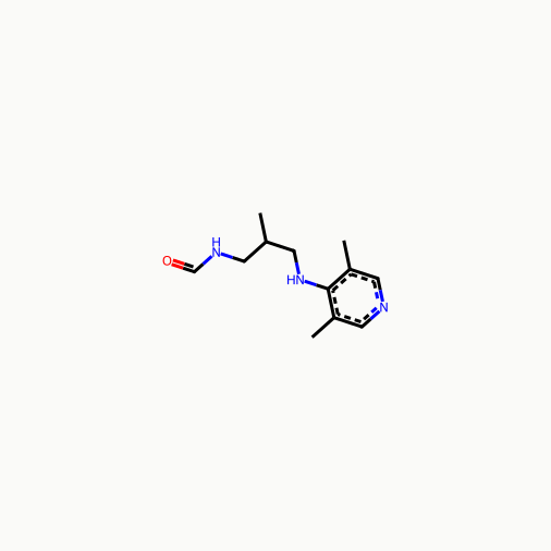 Cc1cncc(C)c1NCC(C)CNC=O